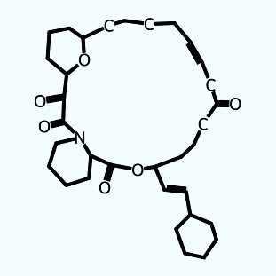 O=C1C/C=C/CCCCC2CCCC(O2)C(=O)C(=O)N2CCCCC2C(=O)OC(/C=C/C2CCCCC2)CCC1